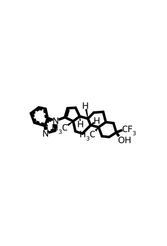 C[C@]12CCC(O)(C(F)(F)F)CC1CC[C@@H]1[C@H]2CC[C@]2(C)C(n3cnc4ccccc43)=CC[C@@H]12